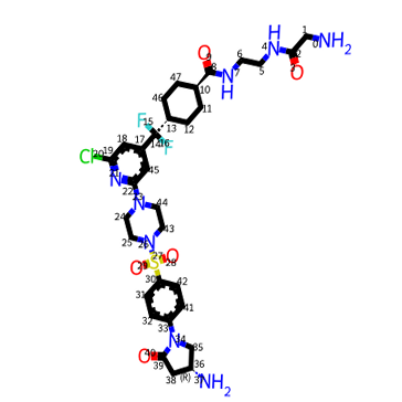 NCC(=O)NCCNC(=O)[C@H]1CC[C@H](C(F)(F)c2cc(Cl)nc(N3CCN(S(=O)(=O)c4ccc(N5C[C@H](N)CC5=O)cc4)CC3)c2)CC1